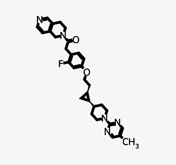 Cc1cnc(N2CCC([C@H]3C[C@H]3CCOc3ccc(CC(=O)N4CCc5cnccc5C4)c(F)c3)CC2)nc1